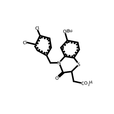 CC(C)COc1ccc2c(c1)N(Cc1ccc(Cl)c(Cl)c1)C(=O)C(CC(=O)O)S2